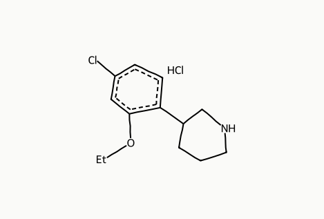 CCOc1cc(Cl)ccc1C1CCCNC1.Cl